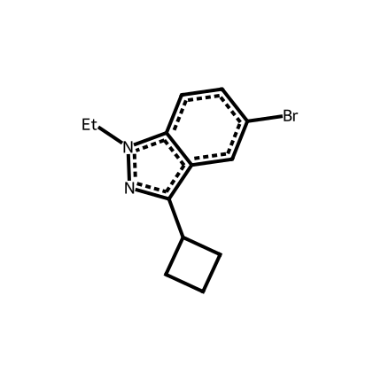 CCn1nc(C2CCC2)c2cc(Br)ccc21